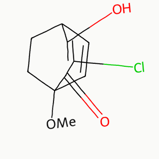 COC12C=CC(CC1)C(O)=C(Cl)C2=O